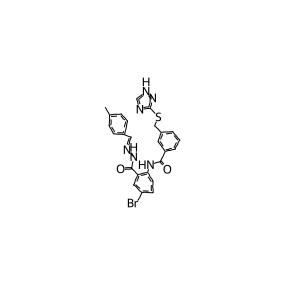 Cc1ccc(/C=N/NC(=O)c2cc(Br)ccc2NC(=O)c2cccc(CSc3nc[nH]n3)c2)cc1